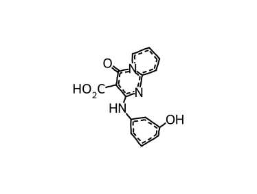 O=C(O)c1c(Nc2cccc(O)c2)nc2ccccn2c1=O